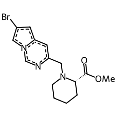 COC(=O)[C@@H]1CCCCN1Cc1cc2cc(Br)cn2cn1